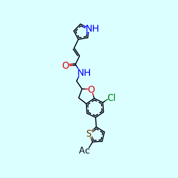 CC(=O)c1ccc(-c2cc(Cl)c3c(c2)CC(CNC(=O)C=Cc2cc[nH]c2)O3)s1